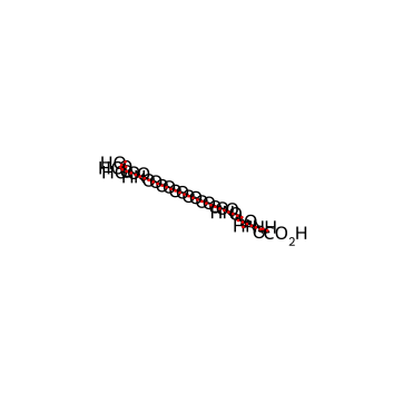 C[C@@H]1O[C@@H](OCCOCCNC(=O)CCOCCOCCOCCOCCOCCOCCOCCOCCOCCOCCOCCOCCNC(=O)COc2ccc(-c3cccc(C(=O)NCCNC(=O)CCCC(=O)O)c3)cc2)[C@H](O)[C@H](O)[C@H]1O